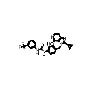 O=C(Nc1ccc(Cn2c(C3CC3)nc3ccnc(O)c32)cc1)Nc1cccc(C(F)(F)F)c1